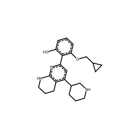 Oc1cccc(OCC2CC2)c1-c1cc(C2CCCNC2)c2c(n1)NCCC2